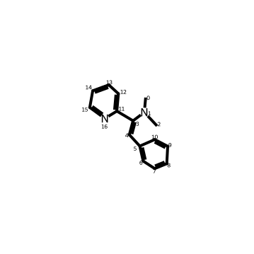 CN(C)C(=Cc1ccccc1)c1ccccn1